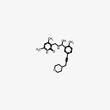 Cc1cc(C)c(CNC(O)c2cc(C#CCN3CCOCC3)ccc2C)c(=O)[nH]1